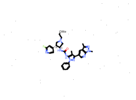 COCCN1C[C@@H](NC(=O)Nc2c(C)c(-c3cnc4c(c3)c(C)nn4C)nn2-c2ccccc2)[C@H](c2ccnc(F)c2)C1